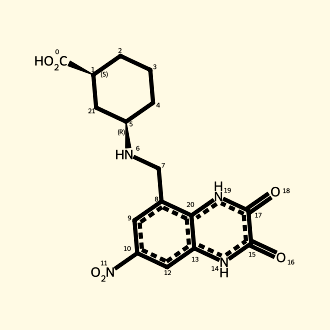 O=C(O)[C@H]1CCC[C@@H](NCc2cc([N+](=O)[O-])cc3[nH]c(=O)c(=O)[nH]c23)C1